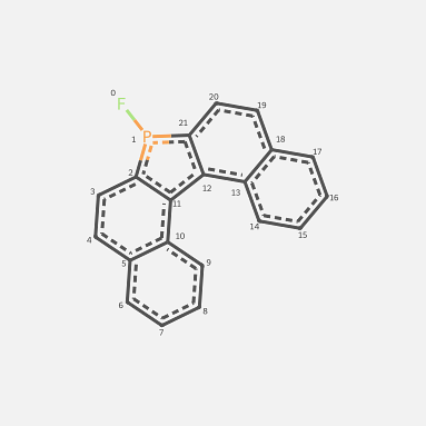 Fp1c2ccc3ccccc3c2c2c3ccccc3ccc21